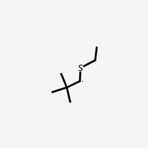 CCS[CH]C(C)(C)C